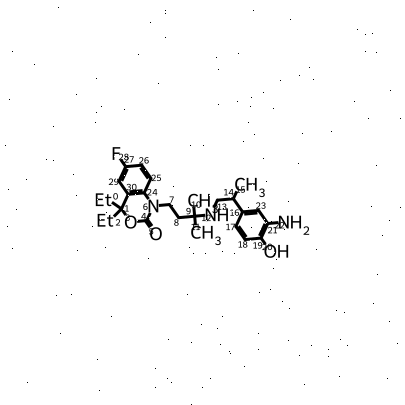 CCC1(CC)OC(=O)N(CCC(C)(C)NCC(C)c2ccc(O)c(N)c2)c2ccc(F)cc21